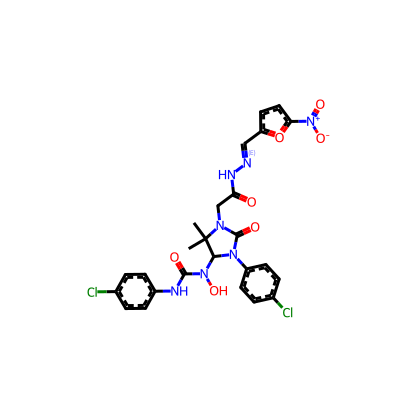 CC1(C)C(N(O)C(=O)Nc2ccc(Cl)cc2)N(c2ccc(Cl)cc2)C(=O)N1CC(=O)N/N=C/c1ccc([N+](=O)[O-])o1